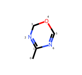 CC1=NCOC=N1